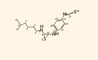 CC(C)CCCCNC1SC1Nc1ccc(N=C=S)cc1